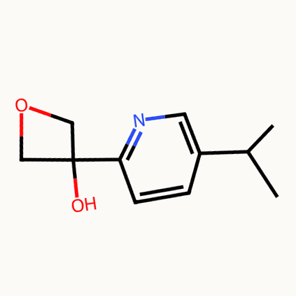 CC(C)c1ccc(C2(O)COC2)nc1